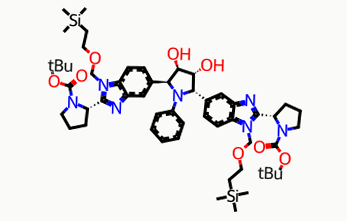 CC(C)(C)OC(=O)N1CCC[C@H]1c1nc2cc([C@H]3[C@@H](O)[C@H](O)[C@H](c4ccc5c(c4)nc([C@@H]4CCCN4C(=O)OC(C)(C)C)n5COCC[Si](C)(C)C)N3c3ccccc3)ccc2n1COCC[Si](C)(C)C